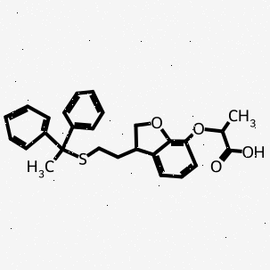 CC(Oc1cccc2c1OCC2CCSC(C)(c1ccccc1)c1ccccc1)C(=O)O